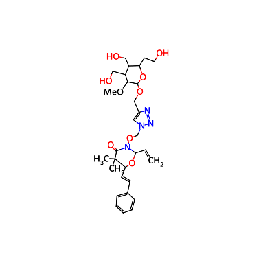 C=CC1OC(/C=C/c2ccccc2)C(C)(C)C(=O)N1OCn1cc(COC2OC(CCO)C(CO)C(CO)C2OC)nn1